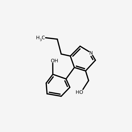 CCCc1cncc(CO)c1-c1ccccc1O